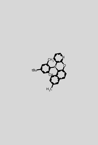 Cc1ccc2c3c(ccc2c1)Oc1ncccc1N3c1c(C)cc(C(C)(C)C)cc1C